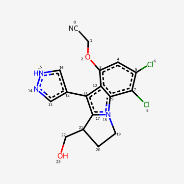 N#CCOc1cc(Cl)c(Cl)c2c1c(-c1cn[nH]c1)c1n2CCC1CO